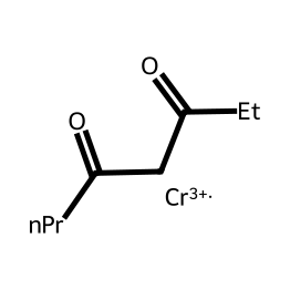 CCCC(=O)CC(=O)CC.[Cr+3]